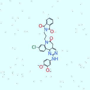 COc1ccc(Nc2ncc3c(n2)-c2ccc(Cl)cc2N(CCCN2C(=O)c4ccccc4C2=O)C(=O)C3)cc1OC